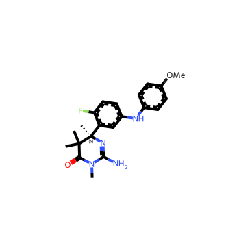 COc1ccc(Nc2ccc(F)c([C@@]3(C)N=C(N)N(C)C(=O)C3(C)C)c2)cc1